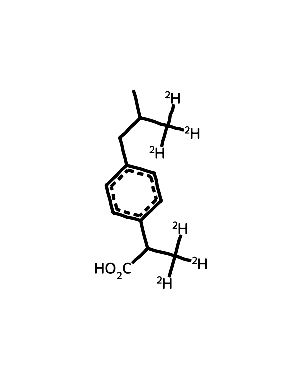 [2H]C([2H])([2H])C(C)Cc1ccc(C(C(=O)O)C([2H])([2H])[2H])cc1